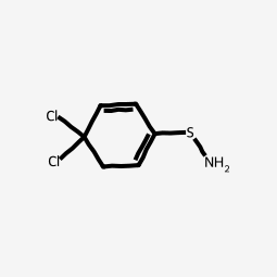 NSC1=CCC(Cl)(Cl)C=C1